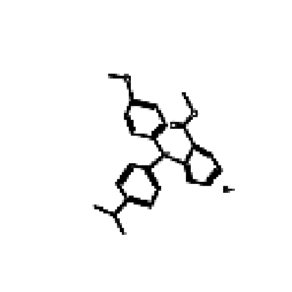 COC(=O)c1ccccc1[S+](c1ccc(OC)cc1)c1ccc(C(C)C)cc1.[Br-]